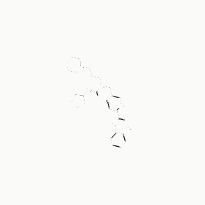 C=C(NC1CCCC1)N(CCCN1CCOCC1)Cc1ccc(C(=O)Nc2ccccc2N)nc1